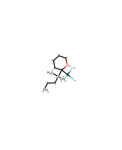 CCC[Si](C)(C)C1(C(F)(F)F)CCCCO1